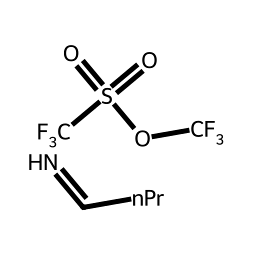 CCCC=N.O=S(=O)(OC(F)(F)F)C(F)(F)F